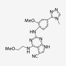 COCCNc1nc(Nc2ccc(-c3nncn3C)cc2OC)nc2[nH]cc(C#N)c12